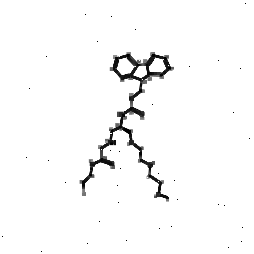 COCCOCCOC[C@@H](CNCC(=O)OCCI)NC(=O)OCC1c2ccccc2-c2ccccc21